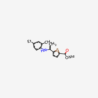 C=C(Nc1ccc(CC)cc1C)c1ccc(C(=O)OC)s1